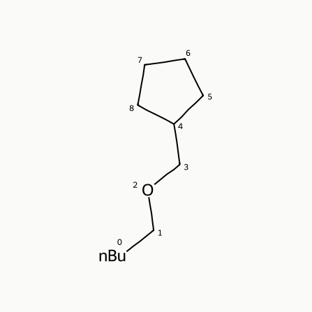 CCCCCOCC1CCCC1